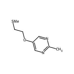 CSCCOc1cnc(C)nc1